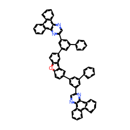 c1ccc(-c2cc(-c3ccc4oc5ccc(-c6cc(-c7ccccc7)cc(-c7cnc8c9ccccc9c9ccccc9c8n7)c6)cc5c4c3)cc(-c3cnc4c5ccccc5c5ccccc5c4n3)c2)cc1